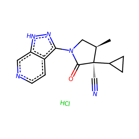 C[C@@H]1CN(c2n[nH]c3cnccc23)C(=O)[C@]1(C#N)C1CC1.Cl